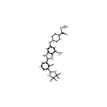 Cc1c(B2OC(C)(C)C(C)(C)O2)cccc1C1Nc2cc(CN3CCC(C(=O)OC(C)(C)C)CC3)cc(C#N)c2O1